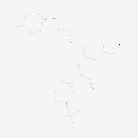 C=N/C(=N\C(=N/CNC1Cc2ccc(Cl)cc2C1)NC1CCC(F)(F)C1)c1cccc(C(F)(F)F)n1